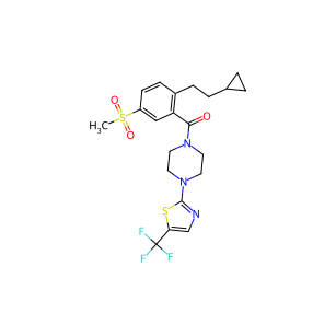 CS(=O)(=O)c1ccc(CCC2CC2)c(C(=O)N2CCN(c3ncc(C(F)(F)F)s3)CC2)c1